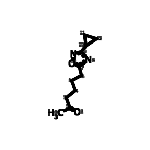 CC(=O)CCCCc1nc(C2CC2)no1